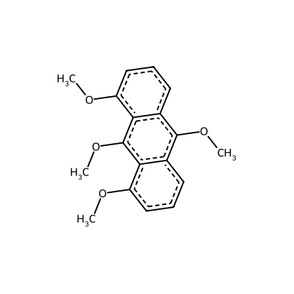 COc1c2cccc(OC)c2c(OC)c2c(OC)cccc12